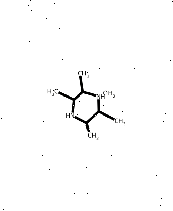 CC1NC(C)C(C)NC1C.O